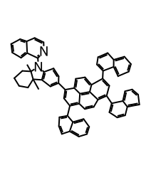 CC12CCCCC1(C)N(c1nccc3ccccc13)c1ccc(-c3cc(-c4cccc5ccccc45)c4ccc5c(-c6cccc7ccccc67)cc(-c6cccc7ccccc67)c6ccc3c4c65)cc12